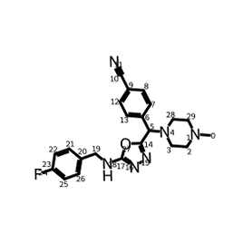 CN1CCN(C(c2ccc(C#N)cc2)c2nnc(NCc3ccc(F)cc3)o2)CC1